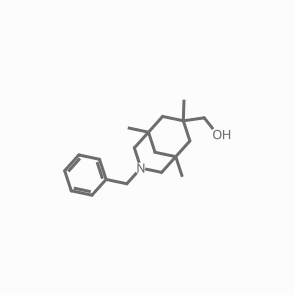 CC1(CO)CC2(C)CN(Cc3ccccc3)CC(C)(C1)C2